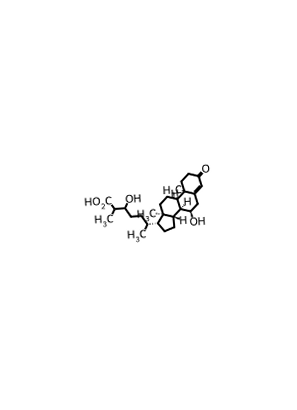 CC(C(=O)O)C(O)CCC(C)[C@H]1CC[C@H]2[C@@H]3[C@H](O)CC4=CC(=O)CC[C@]4(C)[C@H]3CC[C@]12C